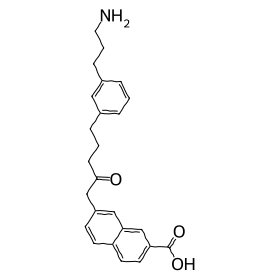 NCCCc1cccc(CCCC(=O)Cc2ccc3ccc(C(=O)O)cc3c2)c1